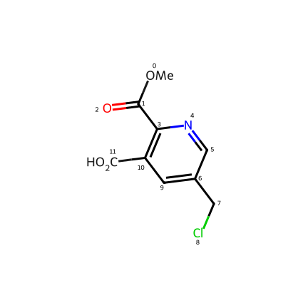 COC(=O)c1ncc(CCl)cc1C(=O)O